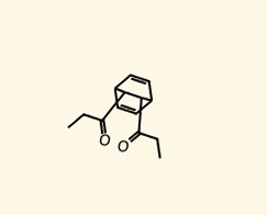 CCC(=O)C1C2C=CC(C=C2)C1C(=O)CC